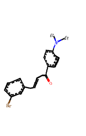 CCN(CC)c1ccc(C(=O)C=Cc2cccc(Br)c2)cc1